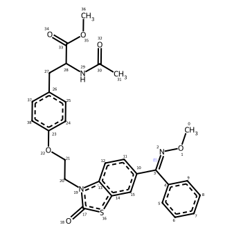 CO/N=C(\c1ccccc1)c1ccc2c(c1)sc(=O)n2CCOc1ccc(CC(NC(C)=O)C(=O)OC)cc1